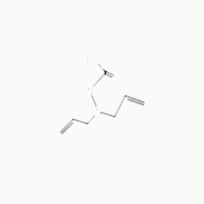 C=CCN(CC=C)NC(=S)S